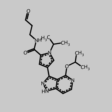 CC(C)Oc1nccc2[nH]nc(-c3cc(C(=O)NCCC=O)n(C(C)C)c3)c12